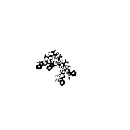 CC(C)[C@H](NC(=O)[C@H](Cc1c[nH]c2ccccc12)NC(=O)[C@@H](NC(=O)[C@@H](NC(=O)[C@@H](NC(=O)[C@@H](N)Cc1c[nH]c2ccccc12)C(C)C)C(C)C)C(C)C)C(=O)N[C@@H](Cc1c[nH]c2ccccc12)C(=O)N[C@@H](Cc1c[nH]c2ccccc12)C(=O)O